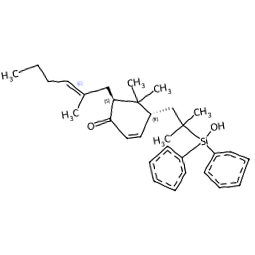 CCC/C=C(\C)C[C@@H]1C(=O)C=C[C@@H](CC(C)(C)[Si](O)(c2ccccc2)c2ccccc2)C1(C)C